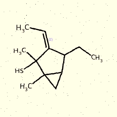 C/C=C1/C(CC)C2CC2(C)C1(C)S